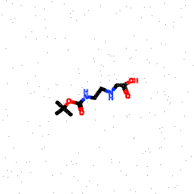 CC(C)(C)OC(=O)NCCNCC(=O)O